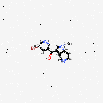 CCC(C)n1cc(C(=O)c2cncc(Br)c2)c2cnccc21